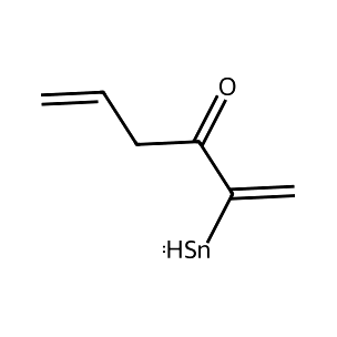 C=CCC(=O)[C](=C)[SnH]